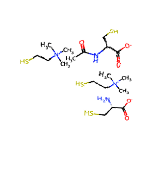 CC(=O)N[C@@H](CS)C(=O)[O-].C[N+](C)(C)CCS.C[N+](C)(C)CCS.N[C@@H](CS)C(=O)[O-]